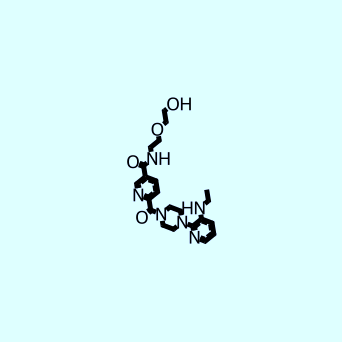 CCNc1cccnc1N1CCN(C(=O)c2ccc(C(=O)NCCOCCO)cn2)CC1